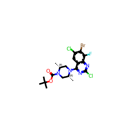 C[C@@H]1CN(c2nc(Cl)nc3c(F)c(Br)c(Cl)cc23)[C@H](C)CN1C(=O)OC(C)(C)C